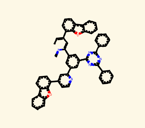 C=N/C(=C\C(=C/C)c1cccc2c1oc1ccccc12)c1cc(-c2cc(-c3cccc4c3oc3ccccc34)ccn2)cc(-c2nc(-c3ccccc3)nc(-c3ccccc3)n2)c1